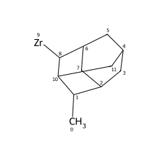 CC1C2CC3CC(C2)[CH]([Zr])C1C3